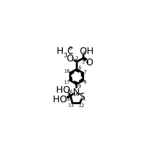 COC(C(=O)O)c1ccc(N2SCCC2(O)O)cc1